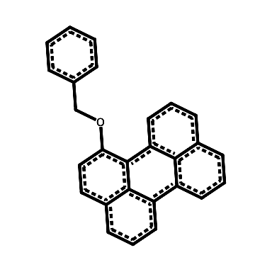 c1ccc(COc2ccc3cccc4c5cccc6cccc(c2c34)c65)cc1